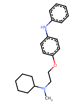 CN(CCOc1ccc(Nc2ccccc2)cc1)C1CCCCC1